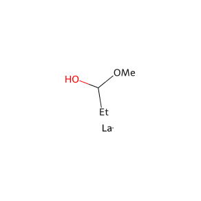 CCC(O)OC.[La]